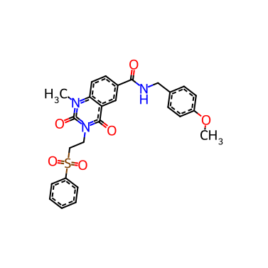 COc1ccc(CNC(=O)c2ccc3c(c2)c(=O)n(CCS(=O)(=O)c2ccccc2)c(=O)n3C)cc1